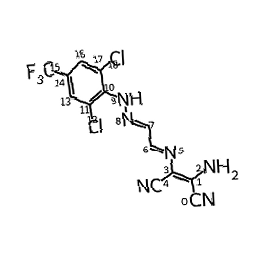 N#C/C(N)=C(C#N)/N=C/C=N/Nc1c(Cl)cc(C(F)(F)F)cc1Cl